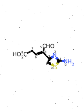 Nc1nc(C(C=O)=CCC(=O)O)cs1